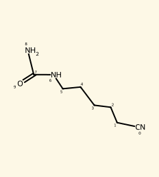 N#CCCCCCNC(N)=O